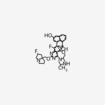 C#Cc1cccc2cc(O)cc(-c3nc4c5c(nc(OCC67CCCN6CC(F)C7)nc5c3F)N3CC(C)NCC3CO4)c12